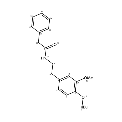 CCCCOc1ccc(CCNC(=O)Cc2ccccc2)cc1OC